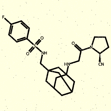 N#C[C@@H]1CCCN1C(=O)CNC12CC3CC(CC(CNS(=O)(=O)c4ccc(F)cc4)(C3)C1)C2